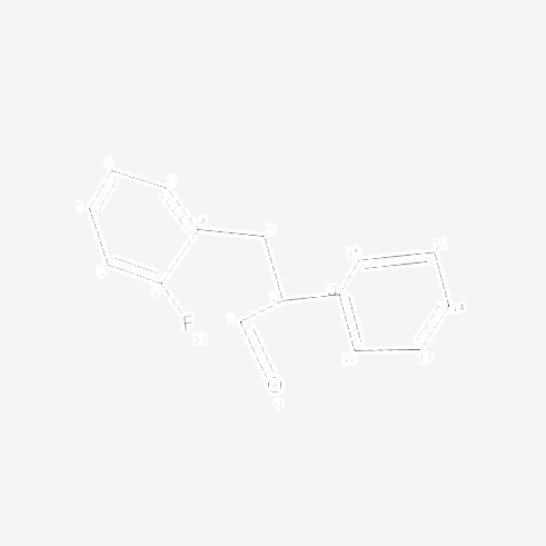 O=CC(Cc1ccccc1F)c1ccccc1